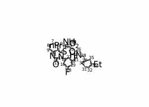 CCC[C@](N)(Sc1c2ccccc2nc(=O)n1-c1cc(F)cc(F)c1)C(=O)OCNCc1cccc(CC)c1